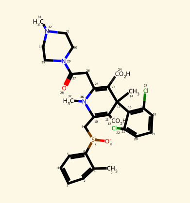 Cc1ccccc1[S+]([O-])CC1=C(C(=O)O)C(C)(c2c(Cl)cccc2Cl)C(C(=O)O)=C(CC(=O)N2CCN(C)CC2)N1C